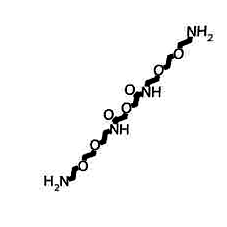 NCCOCCOCCNC(=O)COCC(=O)NCCOCCOCCN